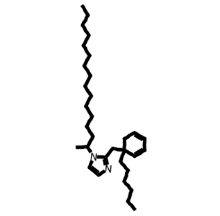 CCCCCCCCCCCCCCC(C)n1ccnc1CC1(CCCCCC)C=CC=CC1